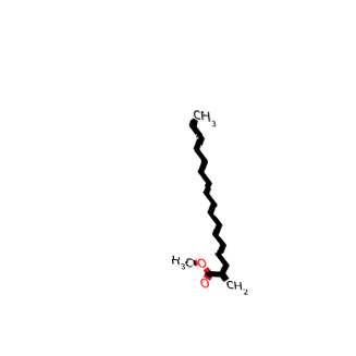 C=C(CCCCCCCCCCCCCCC)C(=O)OC